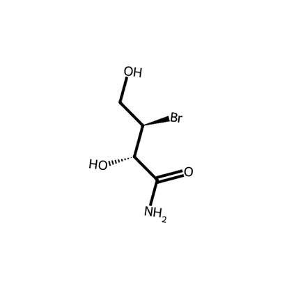 NC(=O)[C@H](O)[C@H](Br)CO